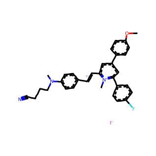 COc1ccc(-c2cc(/C=C/c3ccc(N(C)CCCC#N)cc3)[n+](C)c(-c3ccc(F)cc3)c2)cc1.[I-]